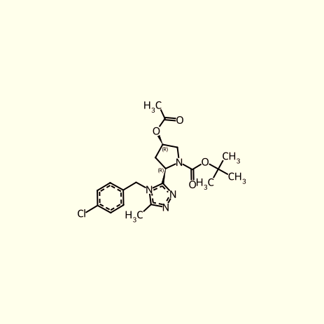 CC(=O)O[C@@H]1C[C@H](c2nnc(C)n2Cc2ccc(Cl)cc2)N(C(=O)OC(C)(C)C)C1